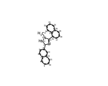 CN1NC(c2ccc3ccccc3c2)N=C1c1cccc2ccccc12